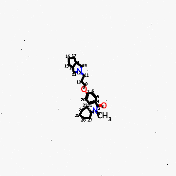 CN(C(=O)c1ccc(OCCCN2CC3CCCC3C2)cc1)C1CCCCC1